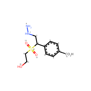 NNCC(c1ccc(C(=O)O)cc1)S(=O)(=O)CCO